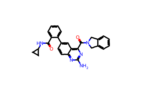 Nc1nc(C(=O)N2Cc3ccccc3C2)c2cc(-c3ccccc3C(=O)NC3CC3)ccc2n1